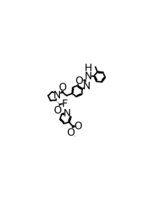 COC(=O)c1ccc(OC(F)[C@@H]2CCCN2C(=O)Cc2ccc3nc(Nc4ccccc4C)oc3c2)nc1